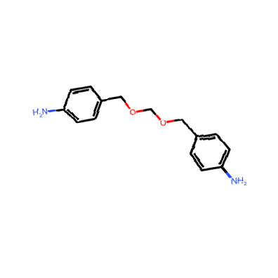 Nc1ccc(COCOCc2ccc(N)cc2)cc1